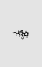 CCC[C@@H](N)CN1C(=O)c2ccccc2C1=O